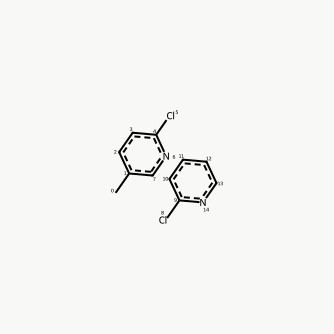 Cc1ccc(Cl)nc1.Clc1ccccn1